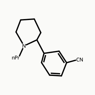 CCCN1CCCCC1c1cccc(C#N)c1